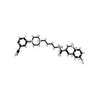 N#Cc1cccc(N2CCN(CCCCNC(=O)C3=Cc4cc(F)ccc4OC3)CC2)c1